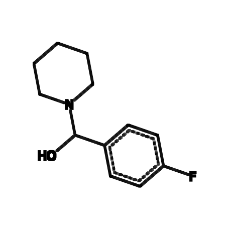 OC(c1ccc(F)cc1)N1CCCCC1